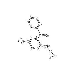 O=C(c1ccccc1)c1cc([N+](=O)[O-])ccc1NC1CC1